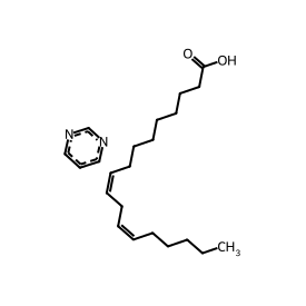 CCCCC/C=C\C/C=C\CCCCCCCC(=O)O.c1cncnc1